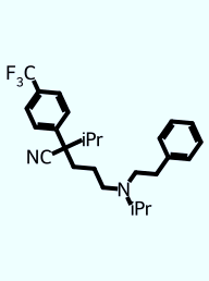 CC(C)N(CCCC(C#N)(c1ccc(C(F)(F)F)cc1)C(C)C)CCc1ccccc1